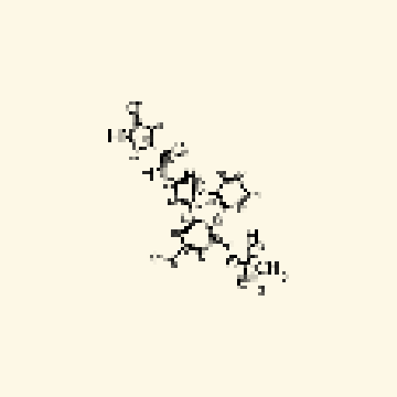 CC(C)(OCc1cc(CI)cc(-c2cc(NC(=O)[C@@H]3CNC(=O)C3)nn2-c2ccccc2)c1)C(F)(F)F